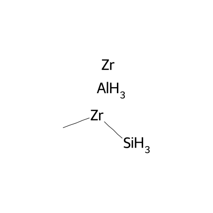 [AlH3].[CH3][Zr][SiH3].[Zr]